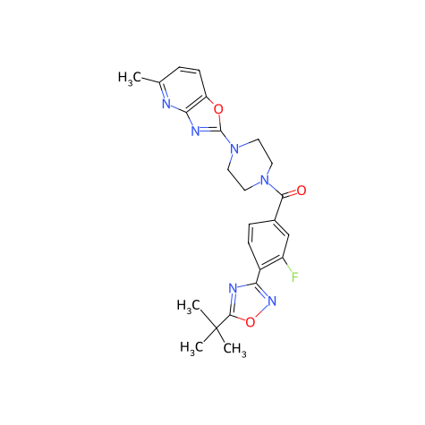 Cc1ccc2oc(N3CCN(C(=O)c4ccc(-c5noc(C(C)(C)C)n5)c(F)c4)CC3)nc2n1